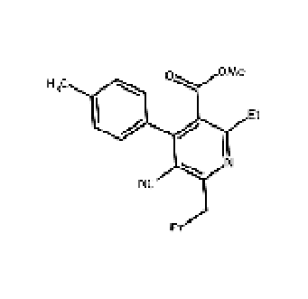 CCc1nc(CC(C)C)c(C#N)c(-c2ccc(C)cc2)c1C(=O)OC